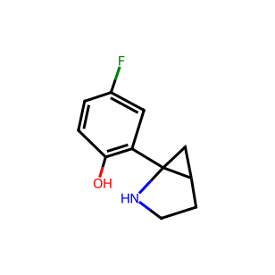 Oc1ccc(F)cc1C12CC1CCN2